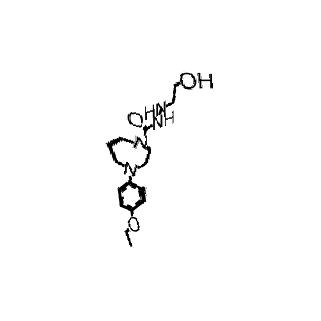 CCOc1ccc(N2CCCN(C(=O)NNCCO)CC2)cc1